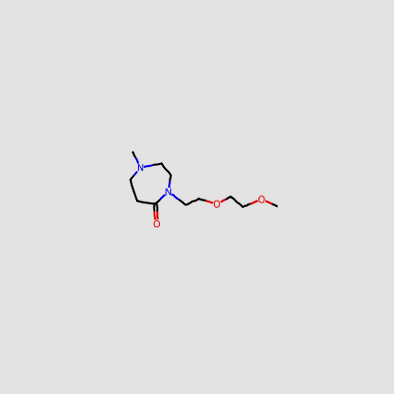 COCCOCCN1CCN(C)CCC1=O